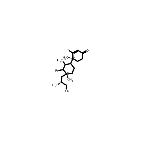 CCCC1C(C)C([C@@]2(C)CCC(=O)C=C2CC)CC[C@]1(C)C[C@H](C)CC#N